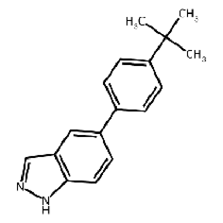 CC(C)(C)c1ccc(-c2ccc3[nH]ncc3c2)cc1